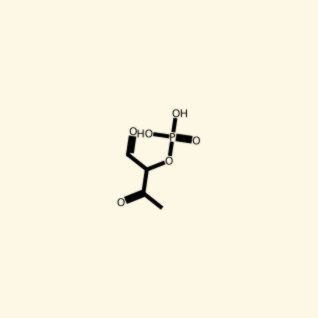 CC(=O)C(C=O)OP(=O)(O)O